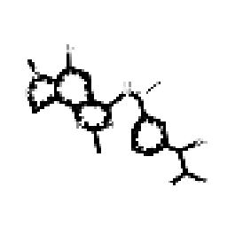 Cc1nc(N[C@H](C)c2cccc(C(O)C(F)F)c2)c2cc(Br)c3c(cnn3C)c2n1